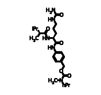 CCCN(C)C(=O)OCc1ccc(NC(=O)[C@H](CCCNC(N)=O)NC(=O)[C@@H](C)C(C)C)cc1